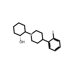 O[C@@H]1CCCCC1N1CCC(c2ccccc2I)CC1